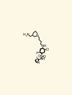 NCC1CCCN(CCCCNc2cc(F)c(S(=O)(=O)Nc3nccs3)cc2Cl)C1